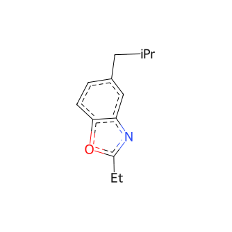 CCc1nc2cc(CC(C)C)ccc2o1